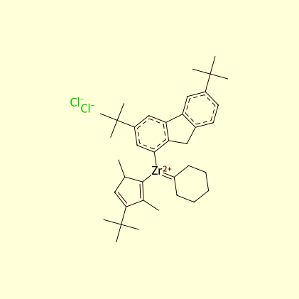 CC1=[C]([Zr+2](=[C]2CCCCC2)[c]2cc(C(C)(C)C)cc3c2Cc2ccc(C(C)(C)C)cc2-3)C(C)C=C1C(C)(C)C.[Cl-].[Cl-]